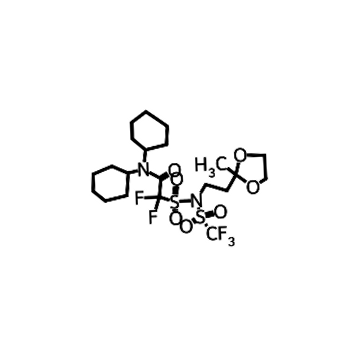 CC1(CCN(S(=O)(=O)C(F)(F)F)S(=O)(=O)C(F)(F)C(=O)N(C2CCCCC2)C2CCCCC2)OCCO1